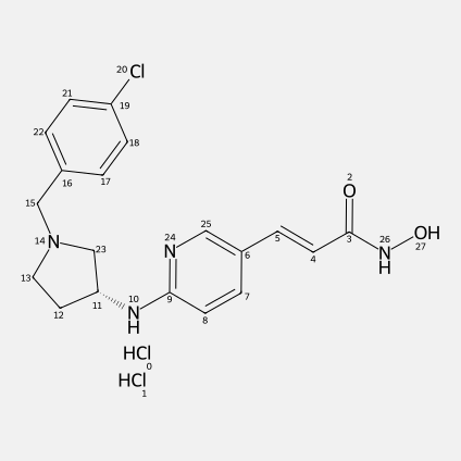 Cl.Cl.O=C(C=Cc1ccc(N[C@@H]2CCN(Cc3ccc(Cl)cc3)C2)nc1)NO